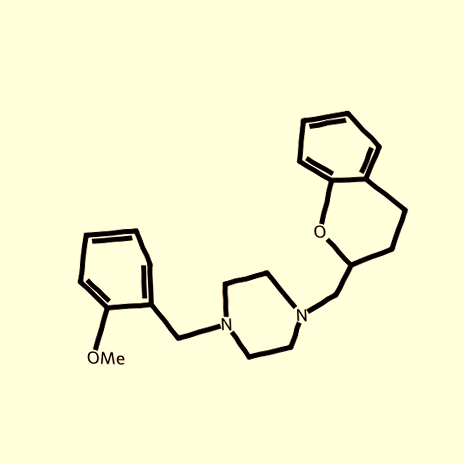 COc1ccccc1CN1CCN(CC2CCc3ccccc3O2)CC1